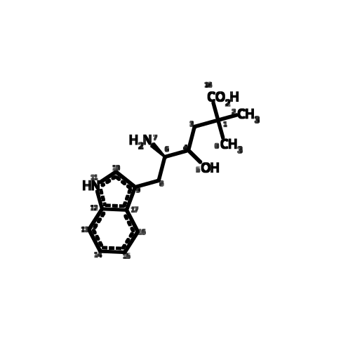 CC(C)(CC(O)[C@H](N)Cc1c[nH]c2ccccc12)C(=O)O